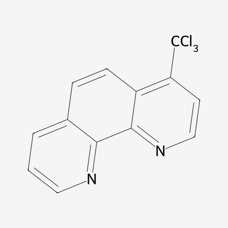 ClC(Cl)(Cl)c1ccnc2c1ccc1cccnc12